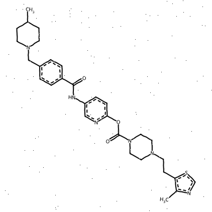 Cc1ncsc1CCN1CCN(C(=O)Oc2ccc(NC(=O)c3ccc(CN4CCC(C)CC4)cc3)cn2)CC1